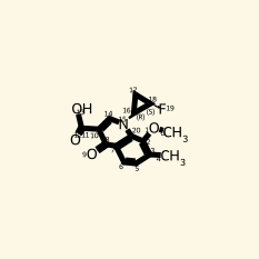 COc1c(C)ccc2c(=O)c(C(=O)O)cn([C@@H]3C[C@@H]3F)c12